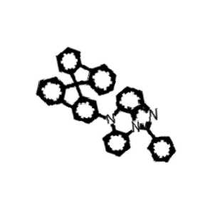 c1ccc(-c2nc3cccc4c3n2-c2ccccc2N4c2ccc3c(c2)C2(c4ccccc4-c4ccccc42)c2ccccc2-3)cc1